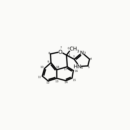 CC1(C2=NCCN2)OCc2cccc3cccc1c23